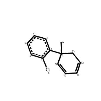 CC1(c2ccccc2Cl)C=CC=[C]C1